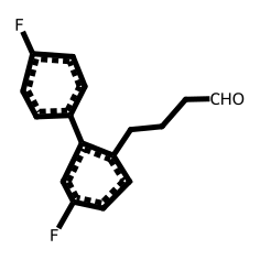 O=CCCCc1ccc(F)cc1-c1ccc(F)cc1